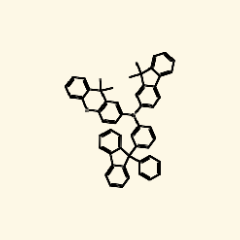 CC1(C)c2ccccc2Oc2ccc(N(c3cccc(C4(c5ccccc5)c5ccccc5-c5ccccc54)c3)c3ccc4c(c3)C(C)(C)c3ccccc3-4)cc21